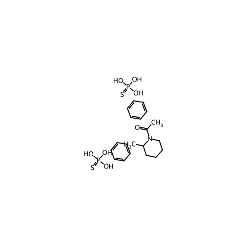 CC(=O)N1CCCCC1C.OP(O)(O)=S.OP(O)(O)=S.c1ccccc1.c1ccccc1